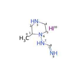 CC1CNCCN1NC=N.I